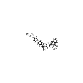 O=C(O)CCc1ccc(-c2ccc(S(=O)(=O)N[C@H]3CC[C@H](C(=O)N4CCCC[C@@H]4c4ccccc4)CC3)cc2)cc1